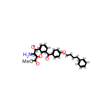 COC(=O)c1oc2c(C(=O)c3ccc(OCCCCc4ccccc4)cc3)cccc2c(=O)c1N